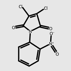 O=C1C(Cl)=C(Cl)C(=O)N1c1ccccc1[N+](=O)[O-]